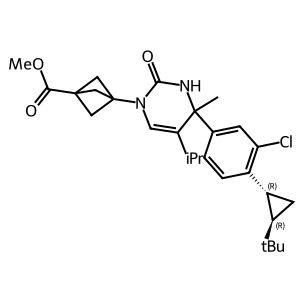 COC(=O)C12CC(N3C=C(C(C)C)C(C)(c4ccc([C@@H]5C[C@H]5C(C)(C)C)c(Cl)c4)NC3=O)(C1)C2